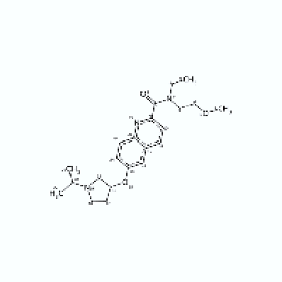 CCN(CCOC)C(=O)c1ccc2cc(OC3CCN(C(C)C)C3)ccc2n1